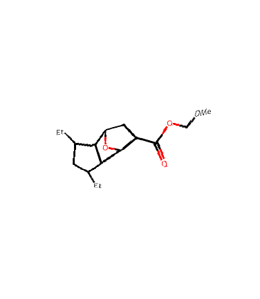 CCC1CC(CC)C2C3OC(CC3C(=O)OCOC)C12